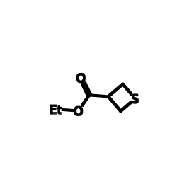 CCOC(=O)C1CSC1